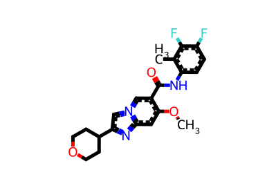 COc1cc2nc(C3CCOCC3)cn2cc1C(=O)Nc1ccc(F)c(F)c1C